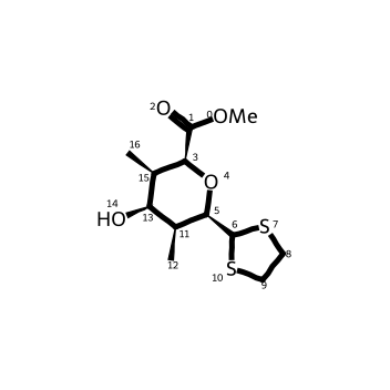 COC(=O)[C@H]1O[C@@H](C2SCCS2)[C@@H](C)[C@@H](O)[C@H]1C